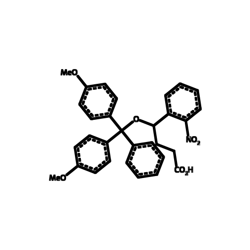 COc1ccc(C(OC(CCC(=O)O)c2ccccc2[N+](=O)[O-])(c2ccccc2)c2ccc(OC)cc2)cc1